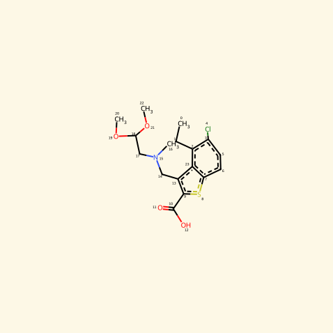 CCc1c(Cl)ccc2sc(C(=O)O)c(CN(C)CC(OC)OC)c12